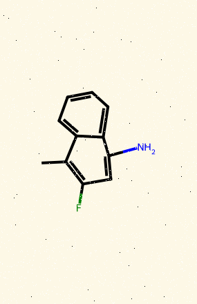 Cc1c(F)cc(N)c2ccccc12